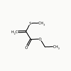 C=C(SC)C(=O)OCC